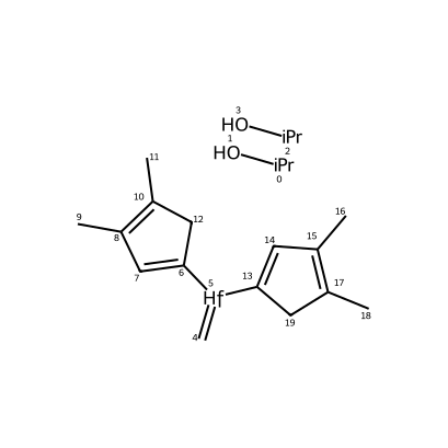 CC(C)O.CC(C)O.[CH2]=[Hf]([C]1=CC(C)=C(C)C1)[C]1=CC(C)=C(C)C1